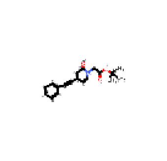 CC(C)(C)OC(=O)Cn1ccc(C#Cc2ccccc2)cc1=O